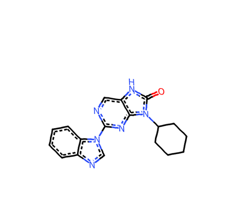 O=c1[nH]c2cnc(-n3cnc4ccccc43)nc2n1C1CCCCC1